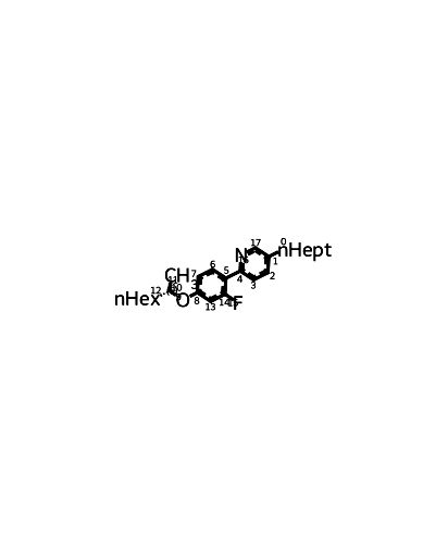 CCCCCCCc1ccc(-c2ccc(O[C@@H](C)CCCCCC)cc2F)nc1